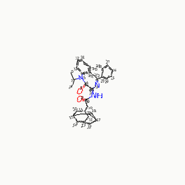 CC(C)N1C(=O)[C@H](NC(=O)CC23CC4CC(CC(C4)C2)C3)N=C(c2ccccc2)c2ccccc21